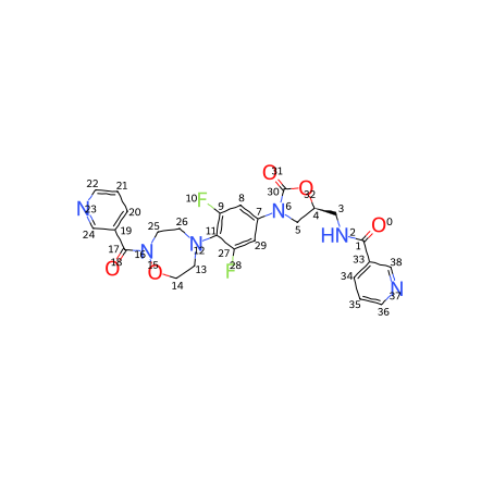 O=C(NC[C@H]1CN(c2cc(F)c(N3CCON(C(=O)c4cccnc4)CC3)c(F)c2)C(=O)O1)c1cccnc1